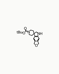 CC(C)(C)OC(=O)N1CCC2(CC1)CNc1cc3c(cc12)COC3